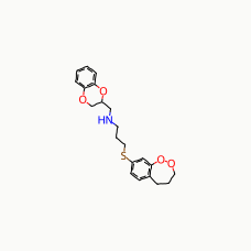 c1ccc2c(c1)OCC(CNCCCSc1ccc3c(c1)OOCCC3)O2